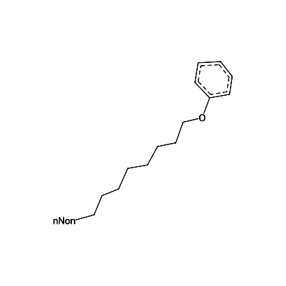 [CH2]CCCCCCCCCCCCCCCCOc1ccccc1